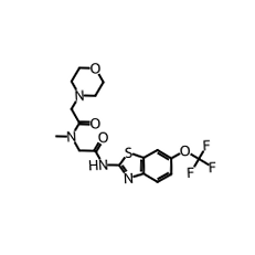 CN(CC(=O)Nc1nc2ccc(OC(F)(F)F)cc2s1)C(=O)CN1CCOCC1